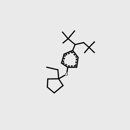 CCC1(Oc2ccc(C(CC(C)(C)C)C(C)(C)C)cc2)CCCC1